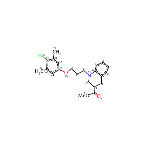 COC(=O)C1Cc2ccccc2N(CCCOc2cc(C)c(Cl)c(C)c2)C1